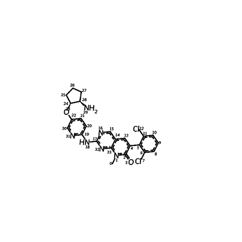 Cn1c(=O)c(-c2c(Cl)cccc2Cl)cc2cnc(Nc3ccc(O[C@H]4CCC[C@H]4N)cn3)nc21